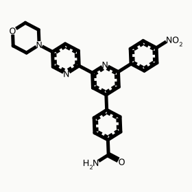 NC(=O)c1ccc(-c2cc(-c3ccc([N+](=O)[O-])cc3)nc(-c3ccc(N4CCOCC4)cn3)c2)cc1